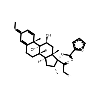 C/N=C1\C=C[C@@]2(C)C(=C1)CC[C@H]1[C@@H]3C[C@@H](C)[C@](OC(=O)c4ccco4)(C(=O)CCl)[C@@]3(C)C[C@H](O)[C@@]12Cl